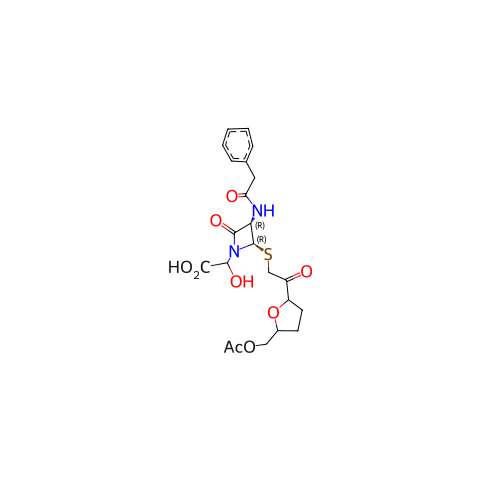 CC(=O)OCC1CCC(C(=O)CS[C@@H]2[C@H](NC(=O)Cc3ccccc3)C(=O)N2C(O)C(=O)O)O1